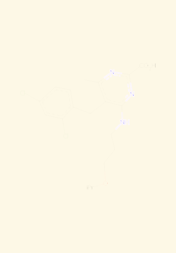 Cc1nc(C(=O)O)nc(NCCCOC(C)C)c1Cc1ccc(Cl)cc1Cl